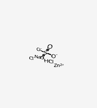 Cl.O=S(=O)([O-])[O-].[Cl-].[Na+].[Zn+2]